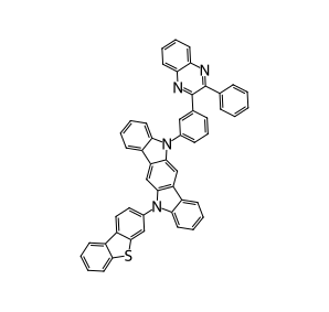 c1ccc(-c2nc3ccccc3nc2-c2cccc(-n3c4ccccc4c4cc5c(cc43)c3ccccc3n5-c3ccc4c(c3)sc3ccccc34)c2)cc1